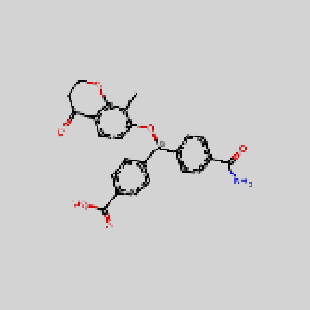 Cc1c(O[C@@H](c2ccc(C(N)=O)cc2)c2ccc(C(=O)O)cc2)ccc2c1OCCC2=O